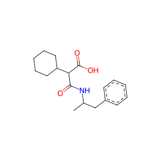 CC(Cc1ccccc1)NC(=O)C(C(=O)O)C1CCCCC1